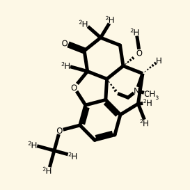 [2H]O[C@@]12CC([2H])([2H])C(=O)C3([2H])Oc4c(OC([2H])([2H])[2H])ccc5c4[C@@]31CCN(C)[C@@H]2C5([2H])[2H]